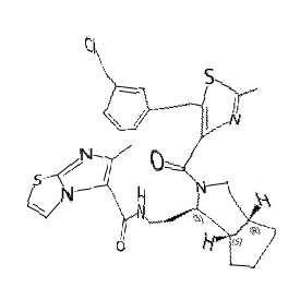 Cc1nc(C(=O)N2C[C@@H]3CCC[C@@H]3[C@H]2CNC(=O)c2c(C)nc3sccn23)c(-c2cccc(Cl)c2)s1